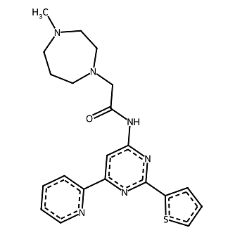 CN1CCCN(CC(=O)Nc2cc(-c3ccccn3)nc(-c3cccs3)n2)CC1